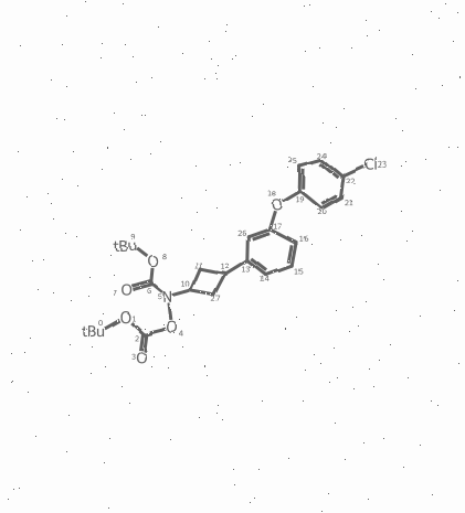 CC(C)(C)OC(=O)ON(C(=O)OC(C)(C)C)C1CC(c2cccc(Oc3ccc(Cl)cc3)c2)C1